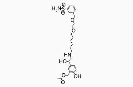 CC(=O)OCc1cc([C@@H](O)CNCCCCCCOCCOCc2cccc(S(N)(=O)=O)c2)ccc1O